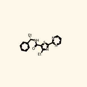 CCc1nc(-c2ncccn2)sc1C(=O)N[C@@H](CC)c1ccccc1